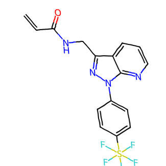 C=CC(=O)NCc1nn(-c2ccc(S(F)(F)(F)(F)F)cc2)c2ncccc12